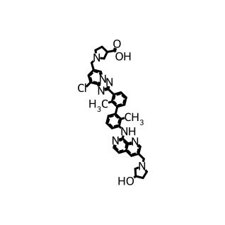 Cc1c(Nc2nccc3cc(CN4CCC(O)C4)cnc23)cccc1-c1cccc(-c2nc3c(Cl)cc(CN4CCC(C(=O)O)C4)cn3n2)c1C